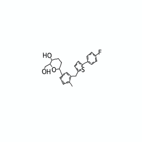 Cc1ccc(C2CCC(O)C(CO)O2)cc1Cc1ccc(-c2ccc(F)cc2)s1